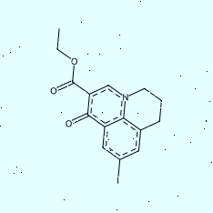 CCOC(=O)c1cn2c3c(cc(I)cc3c1=O)CCC2